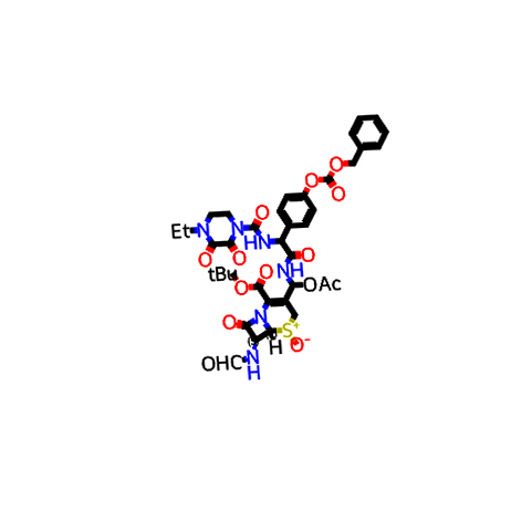 CCN1CCN(C(=O)NC(C(=O)NC(OC(C)=O)C2=C(C(=O)OC(C)(C)C)N3C(=O)[C@H](NC=O)[C@H]3[S+]([O-])C2)c2ccc(OC(=O)OCc3ccccc3)cc2)C(=O)C1=O